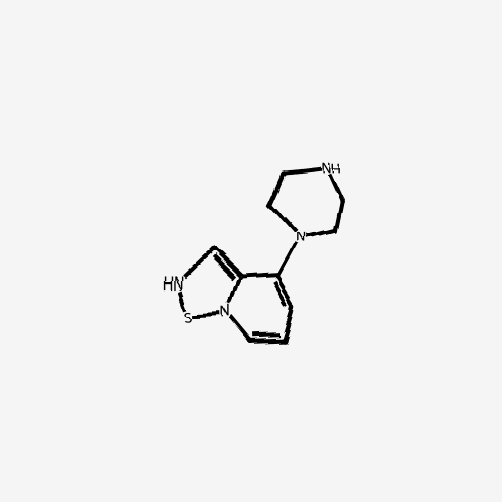 C1=CN2SNC=C2C(N2CCNCC2)=C1